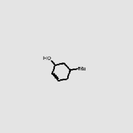 CC(C)(C)C1CC=CC(O)C1